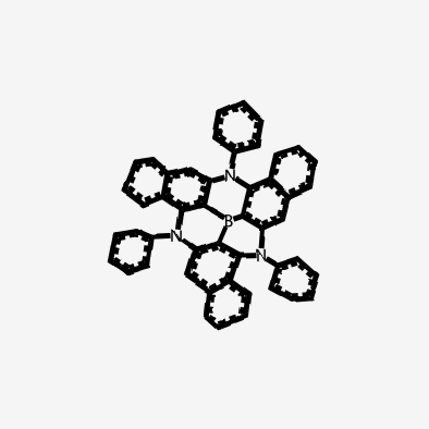 c1ccc(N2c3cc4ccccc4c4c3B3c5c(cc6ccccc6c52)N(c2ccccc2)c2c3c(cc3ccccc23)N4c2ccccc2)cc1